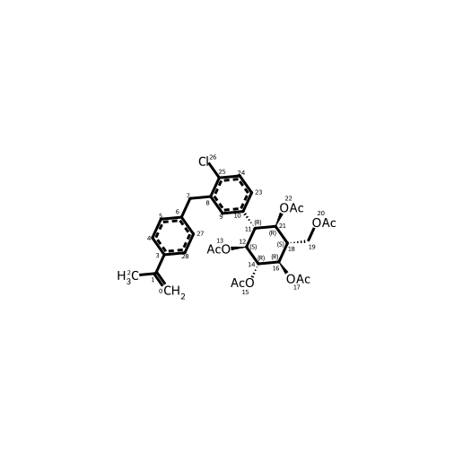 C=C(C)c1ccc(Cc2cc([C@H]3[C@H](OC(C)=O)[C@@H](OC(C)=O)[C@H](OC(C)=O)[C@@H](COC(C)=O)[C@@H]3OC(C)=O)ccc2Cl)cc1